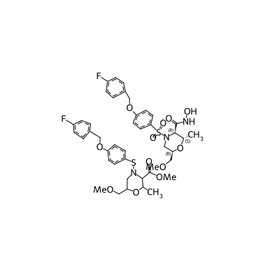 COCC1CN(Sc2ccc(OCc3ccc(F)cc3)cc2)C(C(=O)OC)C(C)O1.COC[C@H]1CN(S(=O)(=O)c2ccc(OCc3ccc(F)cc3)cc2)[C@@H](C(=O)NO)[C@H](C)O1